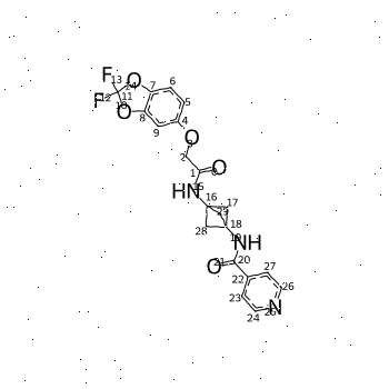 O=C(COc1ccc2c(c1)OC(F)(F)O2)NC12CC(NC(=O)c3ccncc3)(C1)C2